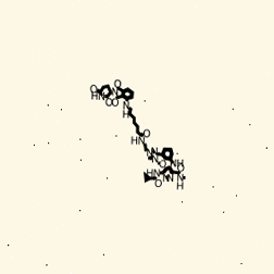 CNC(=O)c1nnc(NC(=O)C2CC2)cc1Nc1cccc(-c2ncn(CCNC(=O)CCCCCCNc3cccc4c3C(=O)N(C3CCC(=O)NC3=O)C4=O)n2)c1OC